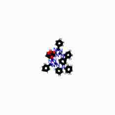 c1ccc(-c2nc(-c3ccccc3)nc(N3c4ccccc4N(c4ccccc4)c4cc5c6ccccc6n(-c6nc(-c7ccccc7)nc(-c7ccccc7)n6)c5cc43)n2)cc1